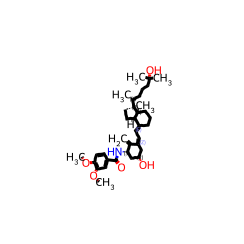 C=C1/C(=C\C=C2/CCC[C@]3(C)[C@@H]([C@H](C)CCCC(C)(C)O)CC[C@@H]23)C[C@@H](O)C[C@@H]1NC(=O)c1ccc(OC)c(OC)c1